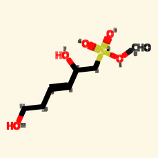 O=COS(=O)(=O)CC(O)C=CCCO